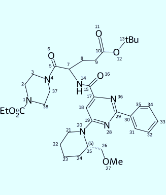 CCOC(=O)N1CCN(C(=O)C(CCC(=O)OC(C)(C)C)NC(=O)c2cc(N3CCCC[C@H]3COC)nc(-c3ccccc3)n2)CC1